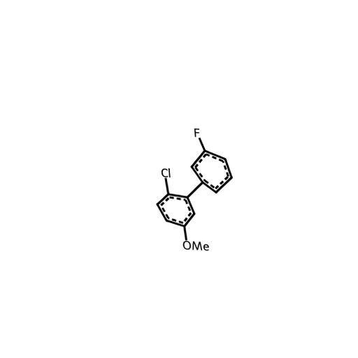 COc1ccc(Cl)c(-c2cccc(F)c2)c1